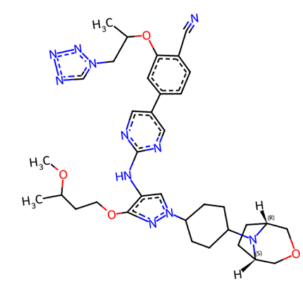 COC(C)CCOc1nn(C2CCC(N3[C@@H]4CC[C@H]3COC4)CC2)cc1Nc1ncc(-c2ccc(C#N)c(OC(C)Cn3cnnn3)c2)cn1